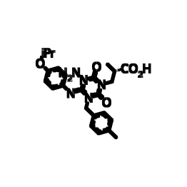 Cc1ccc(Cn2c(=O)n(C[C@H](C)C(=O)O)c(=O)n(N)/c2=N\c2ccc(OC(C)C)cc2)cc1